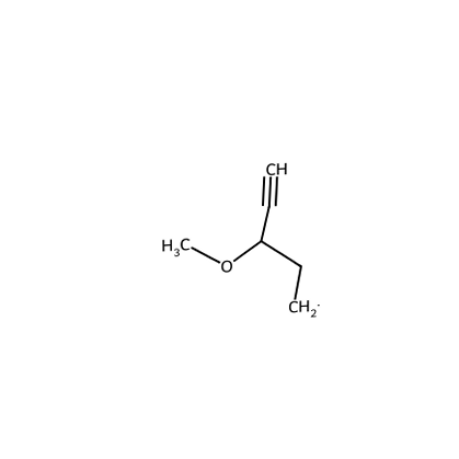 C#CC(C[CH2])OC